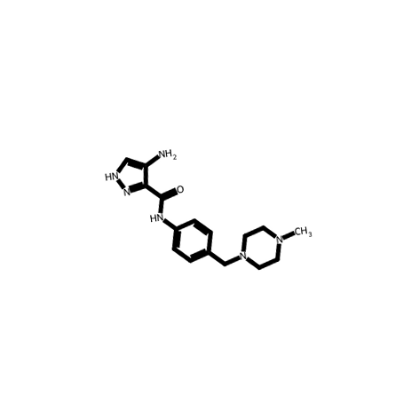 CN1CCN(Cc2ccc(NC(=O)c3n[nH]cc3N)cc2)CC1